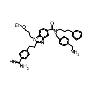 CCOCCCn1c(CCc2ccc(C(=N)N)cc2)nc2cc(C(=O)N(CCCc3ccccc3)Cc3ccc(CN)cc3)ccc21